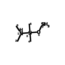 C[SiH](C)[Si](C)(C)O[SiH3]